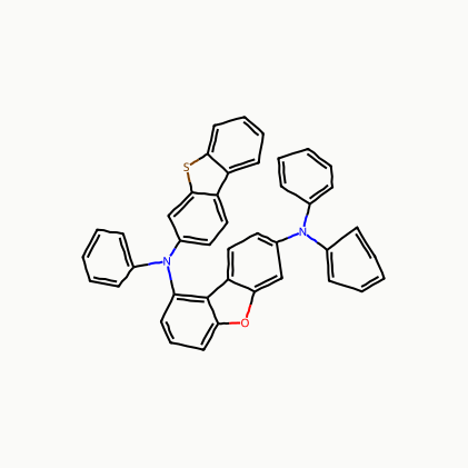 c1ccc(N(c2ccccc2)c2ccc3c(c2)oc2cccc(N(c4ccccc4)c4ccc5c(c4)sc4ccccc45)c23)cc1